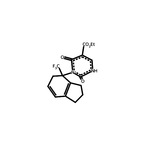 CCOC(=O)c1c[nH]c(=O)n(C2(C(F)(F)F)CC=CC3=C2CCC3)c1=O